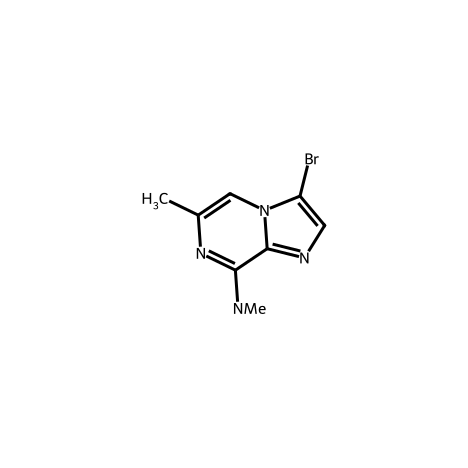 CNc1nc(C)cn2c(Br)cnc12